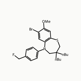 CCCCC1(CCCC)CSc2cc(OC)c(Br)cc2N(c2ccc(CF)cc2)C1